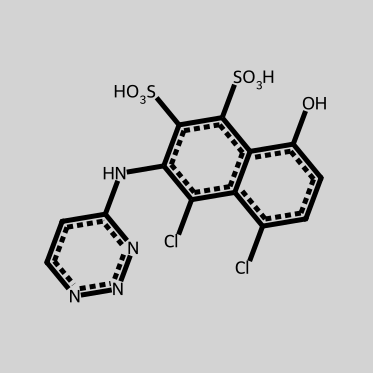 O=S(=O)(O)c1c(Nc2ccnnn2)c(Cl)c2c(Cl)ccc(O)c2c1S(=O)(=O)O